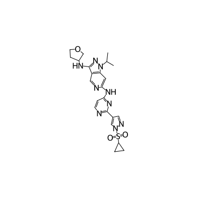 CC(C)n1nc(NC2CCOC2)c2cnc(Nc3ccnc(-c4cnn(S(=O)(=O)C5CC5)c4)n3)cc21